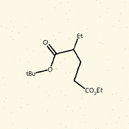 CCOC(=O)CCC(CC)C(=O)OC(C)(C)C